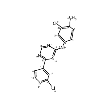 Cc1ccc(Nc2ncnc(-c3ccnc(Cl)c3)n2)cc1Cl